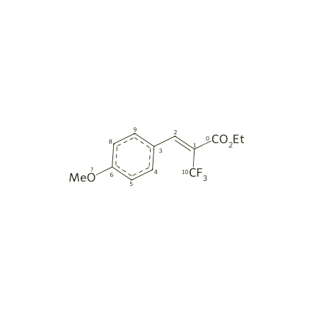 CCOC(=O)C(=Cc1ccc(OC)cc1)C(F)(F)F